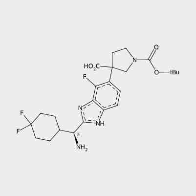 CC(C)(C)OC(=O)N1CCC(C(=O)O)(c2ccc3[nH]c([C@@H](N)C4CCC(F)(F)CC4)nc3c2F)C1